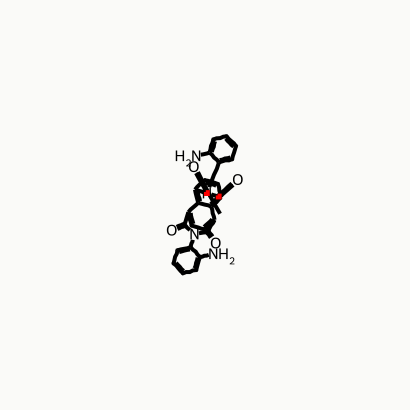 Nc1ccccc1-n1c(=O)c2ccc(c1=O)c1c3ccc(c(=O)n(-c4ccccc4N)c3=O)c21